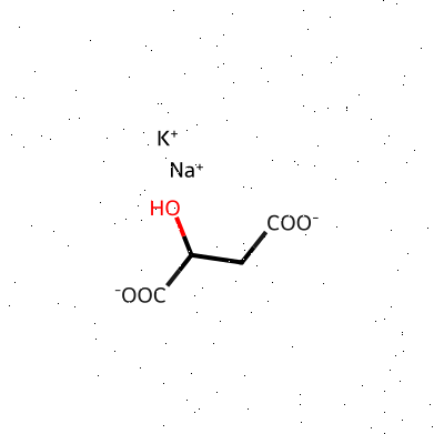 O=C([O-])CC(O)C(=O)[O-].[K+].[Na+]